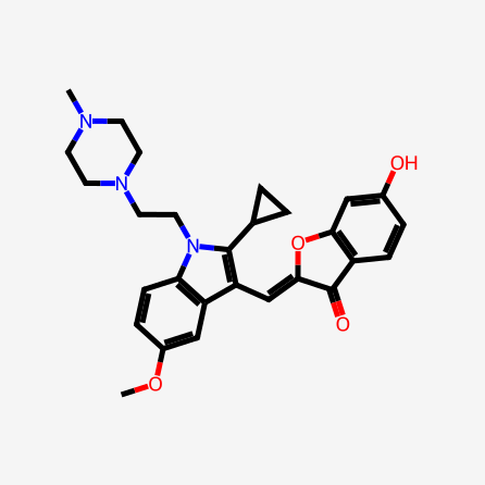 COc1ccc2c(c1)c(/C=C1\Oc3cc(O)ccc3C1=O)c(C1CC1)n2CCN1CCN(C)CC1